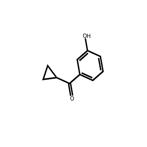 O=C(c1cccc(O)c1)C1CC1